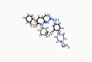 Cc1cc(Nc2ncc3cc(-c4ccccc4Cl)c(=O)n(C4CCCCC4)c3n2)ccc1N1CCN(C)CC1